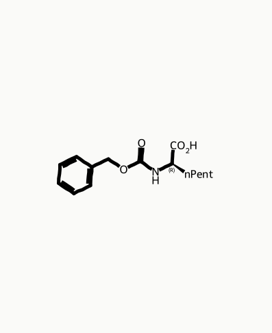 CCCCC[C@@H](NC(=O)OCc1ccccc1)C(=O)O